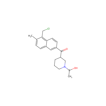 CB(O)N1CCCC(C(=O)c2ccc3c(CCl)c(C)ccc3c2)C1